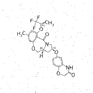 Cc1cc2c(c(O[C@H](C)C(F)(F)F)c1)C(=O)N1C[C@@H](Oc3ccc4c(c3)NC(=O)CO4)C[C@@H]1CO2